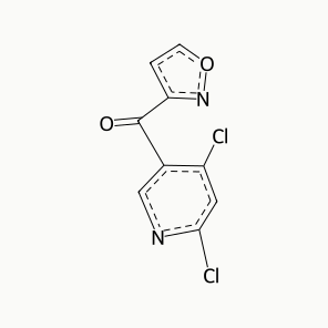 O=C(c1ccon1)c1cnc(Cl)cc1Cl